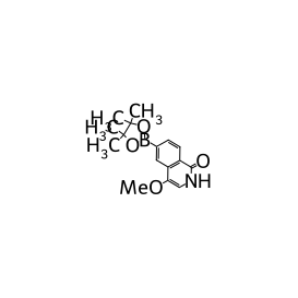 COc1c[nH]c(=O)c2ccc(B3OC(C)(C)C(C)(C)O3)cc12